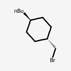 CCCC[C@H]1CC[C@H](CBr)CC1